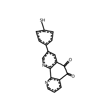 O=C1C(=O)c2cc(-c3ccc(S)cc3)cnc2-c2ncccc21